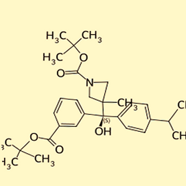 CC(C)c1ccc([C@](O)(c2cccc(C(=O)OC(C)(C)C)c2)C2(C)CN(C(=O)OC(C)(C)C)C2)cc1